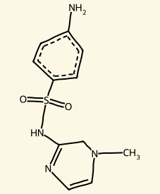 CN1C=CN=C(NS(=O)(=O)c2ccc(N)cc2)C1